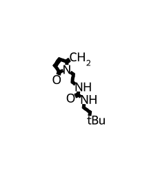 C=C1C=CC(=O)N1CCNC(=O)NCCC(C)(C)C